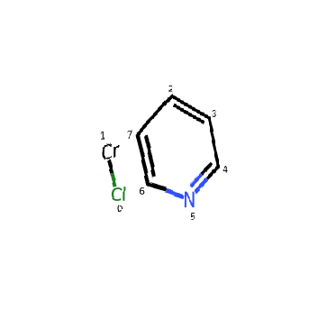 [Cl][Cr].c1ccncc1